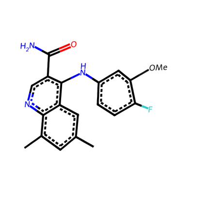 COc1cc(Nc2c(C(N)=O)cnc3c(C)cc(C)cc23)ccc1F